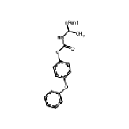 CCCCCC(C)NC(=O)Oc1ccc(Oc2ccccc2)cc1